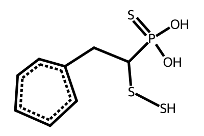 OP(O)(=S)C(Cc1ccccc1)SS